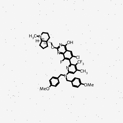 COc1ccc(CN(Cc2ccc(OC)cc2)c2cc(C)c(C(F)(F)F)c(-c3c(Cl)cc4c(O)nc(OC[C@]56CCC[C@H]5N(C)CCC6)nc4c3F)n2)cc1